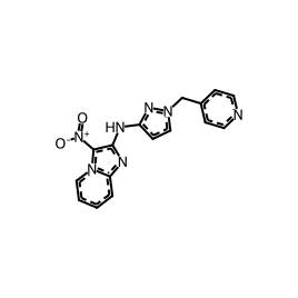 O=[N+]([O-])c1c(Nc2ccn(Cc3ccncc3)n2)nc2ccccn12